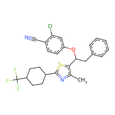 Cc1nc(C2CCC(C(F)(F)F)CC2)sc1C(Cc1ccccc1)Oc1ccc(C#N)c(Cl)c1